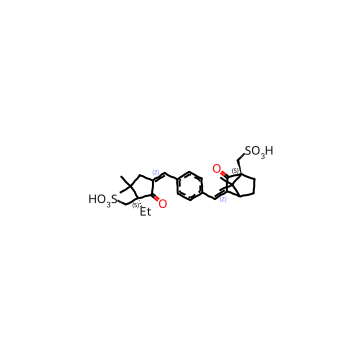 CC[C@@]1(CS(=O)(=O)O)C(=O)/C(=C\c2ccc(/C=C3\C(=O)[C@]4(CS(=O)(=O)O)CCC3C4(C)C)cc2)CC1(C)C